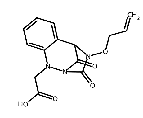 C=CCON1C(=O)N2C(=O)C1c1ccccc1N2CC(=O)O